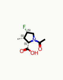 CC(=O)N1C[C@@H](F)[C@@H](C)[C@H]1C(=O)O